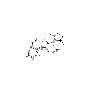 Cc1ccc2c(oc3ccc4ccccc4c32)c1-c1n(C)cc[n+]1C